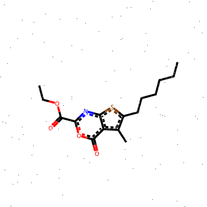 CCCCCCc1sc2nc(C(=O)OCC)oc(=O)c2c1C